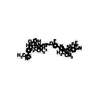 Cc1ncsc1-c1ccc(CNC(=O)C2CCCN2C(=O)C(NC(=O)COCCOc2ccc(-c3ccc(N4C(=S)N(c5ccc(C#N)c(C(F)(F)F)c5F)C(=O)C4(C)C)cn3)cc2F)C(C)(C)C)cc1